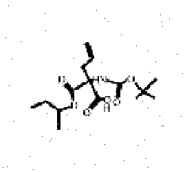 C=CCC(NC(=O)OC(C)(C)C)(C(=O)O)C(=O)OC(C)CC